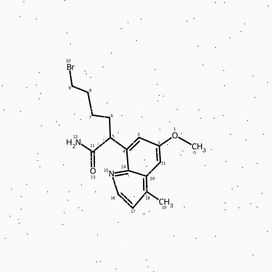 COc1cc(C(CCCCBr)C(N)=O)c2nccc(C)c2c1